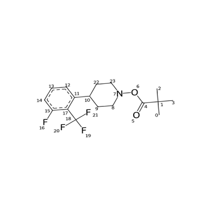 CC(C)(C)C(=O)ON1CCC(c2cccc(F)c2C(F)(F)F)CC1